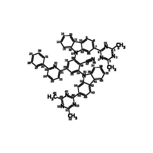 Cc1nc(C)nc(-c2ccc3c4ccccc4n(-c4cc(-c5cccc(-c6ccccc6)n5)cc(-n5c6ccccc6c6ccc(-c7nc(C)nc(C)n7)cc65)c4C#N)c3c2)n1